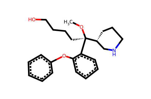 CO[C@](CCCCO)(c1ccccc1Oc1ccccc1)[C@@H]1CCCNC1